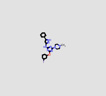 CN1CCN(c2nc(Nc3cc(-c4ccccc4)[nH]n3)nc(Oc3cccc(I)c3)n2)CC1